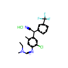 CCN(C)/C=N\c1cc(C)c(C(C#N)c2cccc(C(F)(F)F)c2)cc1Cl.Cl